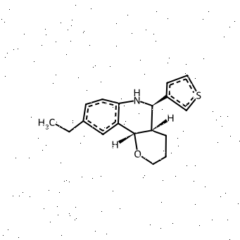 CCc1ccc2c(c1)[C@H]1OCCC[C@H]1[C@H](c1ccsc1)N2